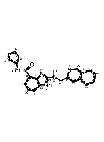 O=C(Nc1ncc[nH]1)c1cccc2[nH]c(NCc3cc4ccccc4cn3)nc12